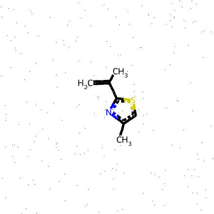 C=C(C)c1nc(C)cs1